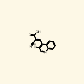 N#C/C(=C\c1c(O)cnc2ccccc12)C(=O)O